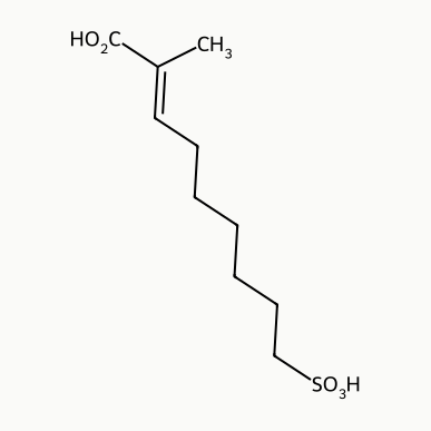 CC(=CCCCCCCS(=O)(=O)O)C(=O)O